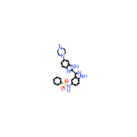 CN1CCN(c2ccc3nc(-c4n[nH]c5ccc(NS(=O)(=O)c6ccccc6)cc45)[nH]c3c2)CC1